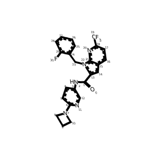 O=C(Nc1ccc(N2CCC2)nc1)c1cc2ccc(C(F)(F)F)nc2n1Cc1ccccc1F